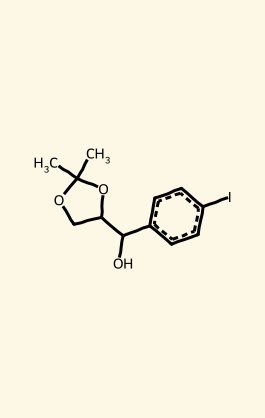 CC1(C)OCC(C(O)c2ccc(I)cc2)O1